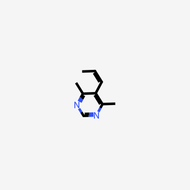 C/C=C\c1c(C)ncnc1C